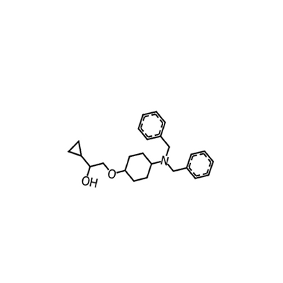 OC(COC1CCC(N(Cc2ccccc2)Cc2ccccc2)CC1)C1CC1